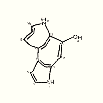 Oc1cc2[nH]ccc2c2cc[nH]c12